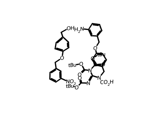 CC(C)(C)OC(=O)/N=C(/N(Cc1ccc(OCc2cccc(N)c2)cc1)C(=O)O)N(C(=O)OC(C)(C)C)C(=O)OC(C)(C)C.O=[N+]([O-])c1cccc(COc2ccc(CO)cc2)c1